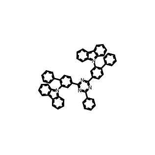 c1ccc(-c2nc(-c3ccc(-c4ccccc4)c(-n4c5ccccc5c5ccccc54)c3)nc(-c3ccc(-c4ccccc4)c(-n4c5ccccc5c5ccccc54)c3)n2)cc1